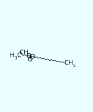 CCCCCCCCC=CCCCCCCCCOC(=O)OCCCC(C)C